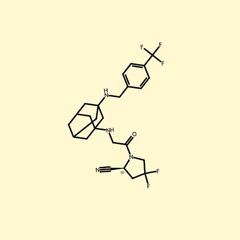 N#C[C@@H]1CC(F)(F)CN1C(=O)CNC12CC3CC(C1)CC(NCc1ccc(C(F)(F)F)cc1)(C3)C2